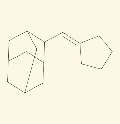 C(=C1CCCC1)C1C2CC3CC(C2)CC1C3